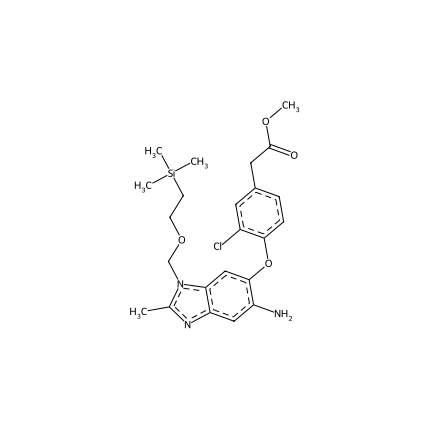 COC(=O)Cc1ccc(Oc2cc3c(cc2N)nc(C)n3COCC[Si](C)(C)C)c(Cl)c1